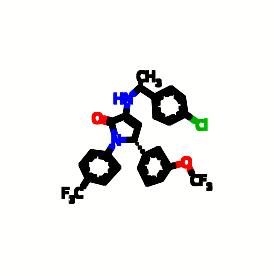 C[C@@H](NC1=C[C@H](c2cccc(OC(F)(F)F)c2)N(c2ccc(C(F)(F)F)cc2)C1=O)c1ccc(Cl)cc1